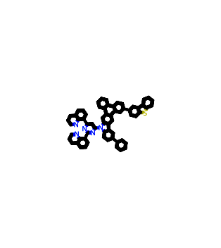 c1ccc(-c2ccc3c(c2)c2cc4c5cc(-c6ccc7sc8ccccc8c7c6)ccc5c5ccccc5c4cc2n3-c2cc(-c3cccc4cccnc34)nc(-c3cccc4cccnc34)n2)cc1